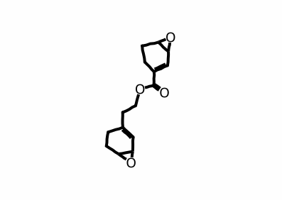 O=C(OCCC1=CC2OC2CC1)C1=CC2OC2CC1